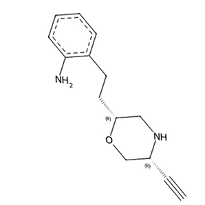 C#C[C@@H]1CO[C@H](CCc2ccccc2N)CN1